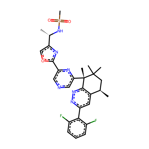 C[C@@H]1CC(C)(C)[C@@](C)(c2cncc(-c3nc([C@H](C)NS(C)(=O)=O)co3)n2)c2nnc(-c3c(F)cccc3F)cc21